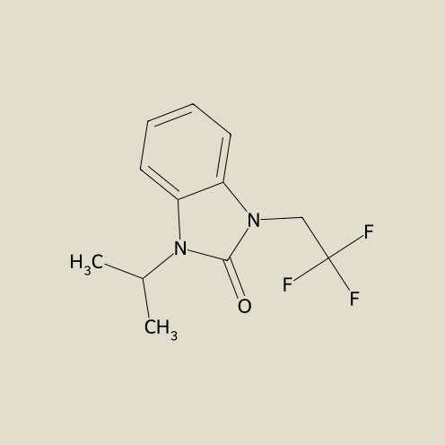 CC(C)n1c(=O)n(CC(F)(F)F)c2ccccc21